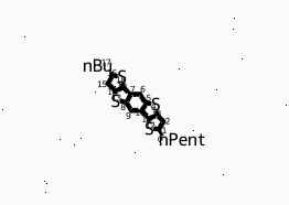 CCCCCc1cc2sc3cc4c(cc3c2s1)sc1cc(CCCC)sc14